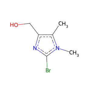 Cc1c(CO)nc(Br)n1C